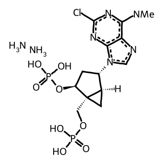 CNc1nc(Cl)nc2c1ncn2[C@H]1C[C@H](OP(=O)(O)O)[C@]2(COP(=O)(O)O)C[C@H]12.N.N